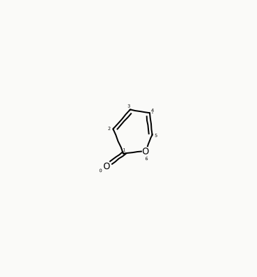 O=c1cc[c]co1